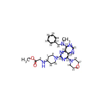 COC(=O)CNC1CCN(c2nc(N3CCOCC3)c3ncnc(N(C)Cc4ccccc4)c3n2)CC1